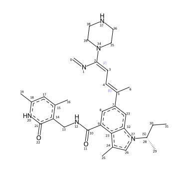 C=N/C(=C\C=C(/C)c1cc(C(=O)NCc2c(C)cc(C)[nH]c2=O)c2c(C)cn([C@@H](C)CC)c2c1)N1CCNCC1